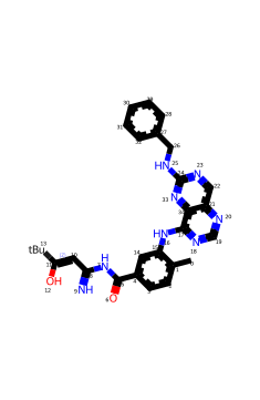 Cc1ccc(C(=O)NC(=N)/C=C(\O)C(C)(C)C)cc1Nc1ncnc2cnc(NCc3ccccc3)nc12